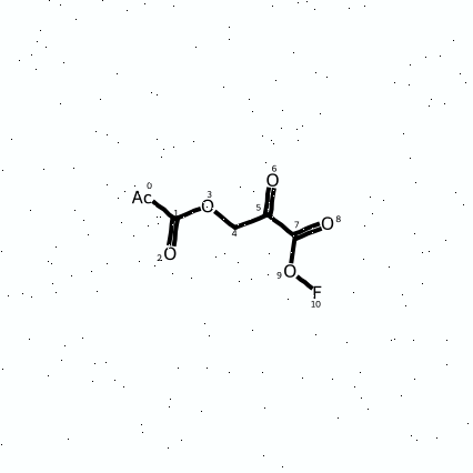 CC(=O)C(=O)OCC(=O)C(=O)OF